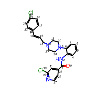 O=C(Nc1ccccc1N1CCN(CC=Cc2ccc(Cl)cc2)CC1)c1ccnc(Cl)c1